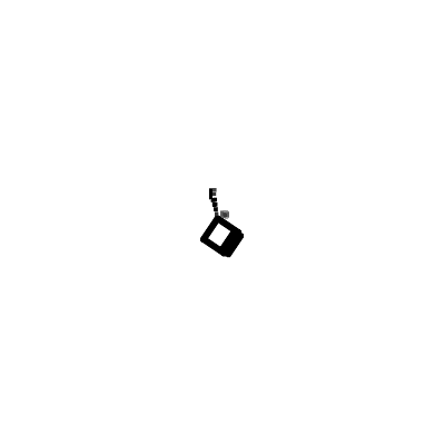 F[C@@H]1C#CC1